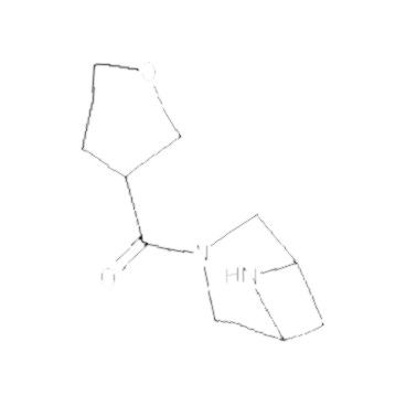 O=C(C1CCOC1)N1CC2CC(C1)N2